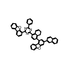 C1=Cc2c(-c3nc(-c4ccccc4)nc(-c4cccc5c4oc4ccccc45)n3)ccc(-c3cc(-c4ccc5ccccc5c4)cc4oc5ccccc5c34)c2CC1